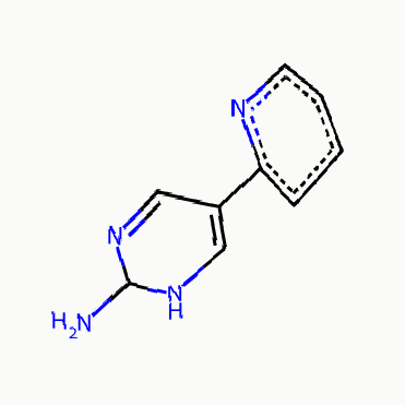 NC1N=CC(c2ccccn2)=CN1